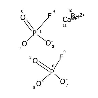 O=P([O-])([O-])F.O=P([O-])([O-])F.[Ba+2].[Ca+2]